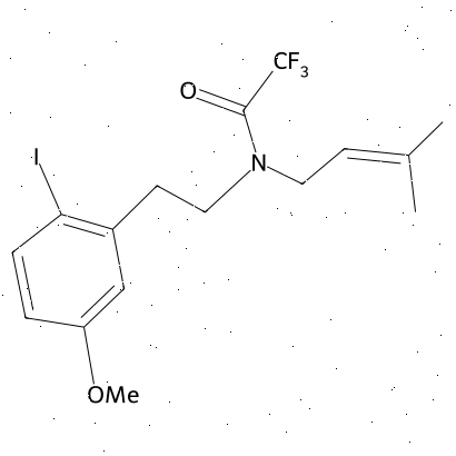 COc1ccc(I)c(CCN(CC=C(C)C)C(=O)C(F)(F)F)c1